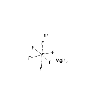 F[P-](F)(F)(F)(F)F.[K+].[MgH2]